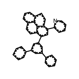 c1ccc(-c2cc(-c3ccccc3)cc(-c3cc(-c4ccccn4)c4ccc5cccc6ccc3c4c65)c2)cc1